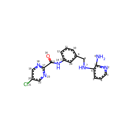 Nc1ncccc1NCc1cccc(NC(=O)c2ncc(Cl)cn2)c1